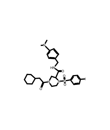 CN(C)c1ccc(CNC(=O)C2CN(C(=O)CC3CCCCC3)CCN2S(=O)(=O)c2ccc(I)cc2)cc1